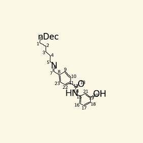 CCCCCCCCCCCCCCCN=Cc1ccc(C(=O)Nc2cccc(O)c2)cc1